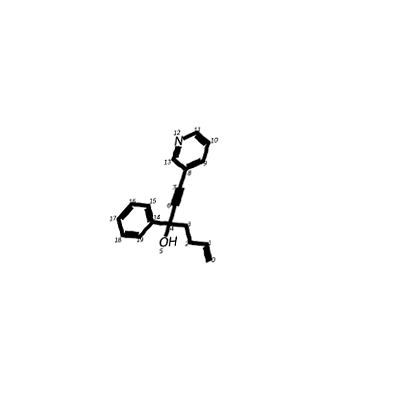 C=CCCC(O)(C#Cc1cccnc1)c1ccccc1